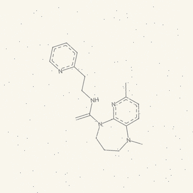 C=C(NCCc1ccccn1)N1CCCN(C)c2ccc(C)nc21